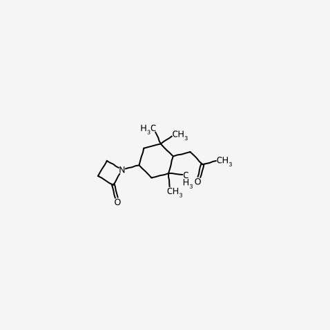 CC(=O)CC1C(C)(C)CC(N2CCC2=O)CC1(C)C